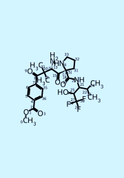 COC(=O)c1ccc(C(=O)C(C)(C)[C@H](N)C(=O)[C@]2(C(=O)NC(C(C)C)C(O)C(F)(F)F)CCCN2)cc1